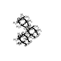 C=CC1=C(C)c2nc1cc1[nH]c(cc3nc(cc4[nH]c(c2Cl)c(C=C)c4C)C(C)=C3CCC(=O)[O-])c(CCC(=O)[O-])c1C.C=CC1=C(C)c2nc1cc1[nH]c(cc3nc(cc4[nH]c(c2Cl)c(C=C)c4C)C(C)=C3CCC(=O)[O-])c(CCC(=O)[O-])c1C.C=CC1=C(C)c2nc1cc1[nH]c(cc3nc(cc4[nH]c(c2Cl)c(C=C)c4C)C(C)=C3CCC(=O)[O-])c(CCC(=O)[O-])c1C.[Fe+3].[Fe+3]